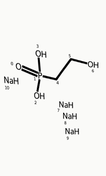 O=P(O)(O)CCO.[NaH].[NaH].[NaH].[NaH]